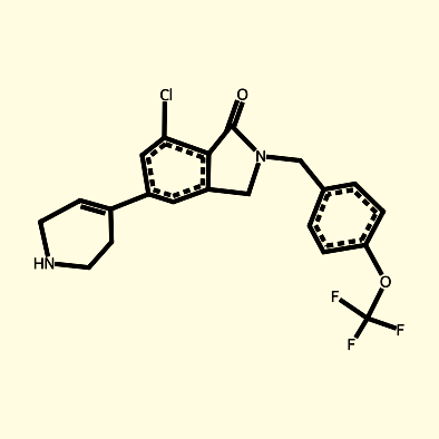 O=C1c2c(Cl)cc(C3=CCNCC3)cc2CN1Cc1ccc(OC(F)(F)F)cc1